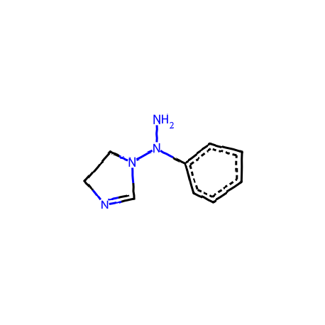 NN(c1ccccc1)N1C=NCC1